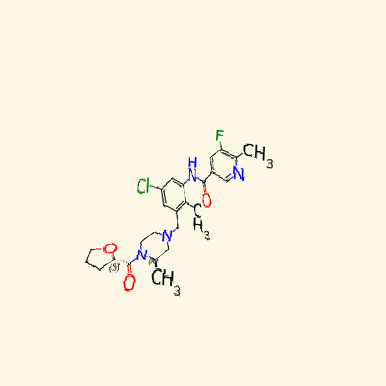 Cc1ncc(C(=O)Nc2cc(Cl)cc(CN3CCN(C(=O)[C@@H]4CCCO4)[C@H](C)C3)c2C)cc1F